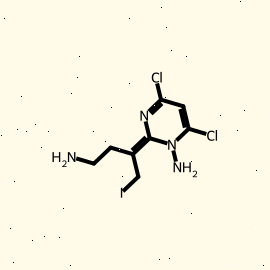 NCC/C(CI)=C1\N=C(Cl)C=C(Cl)N1N